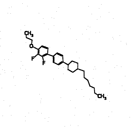 CCCCCCCC1CCC(c2ccc(-c3ccc(OCCC)c(F)c3F)cc2)CC1